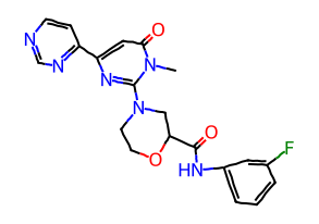 Cn1c(N2CCOC(C(=O)Nc3cccc(F)c3)C2)nc(-c2ccncn2)cc1=O